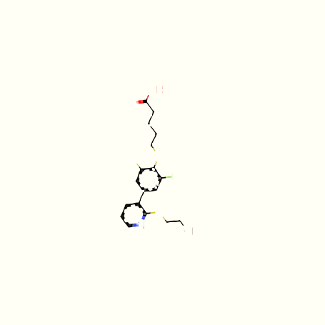 CCCSc1ncccc1-c1cc(F)c(SCCCCC(=O)O)c(F)c1